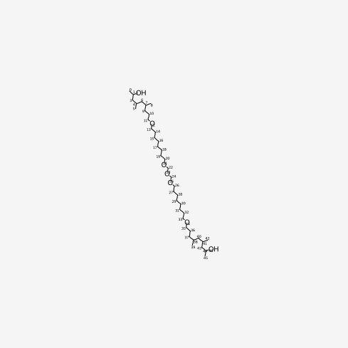 CC(O)CC(C)CC(C)CCCOCCCCCCCCOCOCOCCCCCCCCOCCCC(C)CC(C)CC(C)O